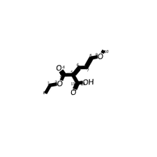 CCOC(=O)C(=CC=COC)C(=O)O